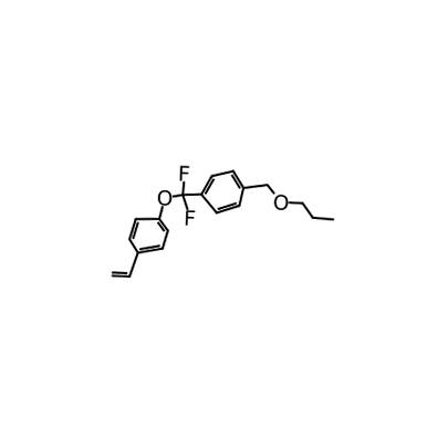 C=Cc1ccc(OC(F)(F)c2ccc(COCCC)cc2)cc1